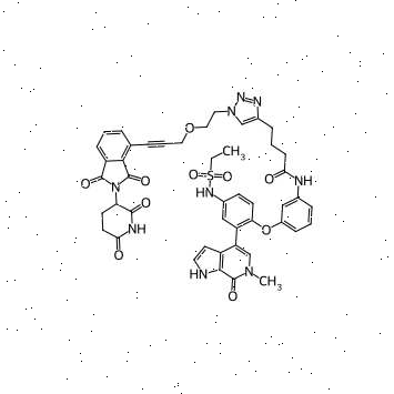 CCS(=O)(=O)Nc1ccc(Oc2cccc(NC(=O)CCCc3cn(CCOCC#Cc4cccc5c4C(=O)N(C4CCC(=O)NC4=O)C5=O)nn3)c2)c(-c2cn(C)c(=O)c3[nH]ccc23)c1